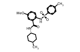 COc1ccc(NS(=O)(=O)c2ccc(C)cc2)c(C(=O)N[C@H]2CC[C@H](C)CC2)c1